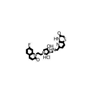 Cl.O=C1CSc2ccc(CNC[C@H]3CN(CCn4c(=O)ccc5ccc(F)cc54)C[C@H]3O)nc2N1